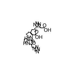 COC1(NC(=O)Cn2cnnn2)C(=O)N2C(C(=O)O)=C(CSc3nnnn3CC(=O)O)CS[C@@H]21